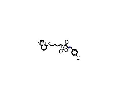 O=C1O/C(=C\c2ccc(Cl)cc2)C(=O)N1CCCCSc1cccc2nccn12